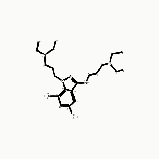 CCN(CC)CCCNc1nn(CCCN(CC)CC)c2c(N)cc(N)cc12